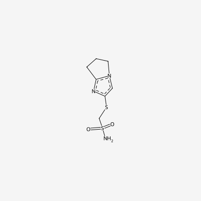 NS(=O)(=O)CSc1cn2c(n1)CCC2